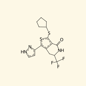 O=C1NC(C(F)(F)F)Cc2c(-c3cc[nH]n3)sc(SC3CCCC3)c21